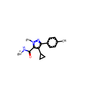 CC[C@H](C)NC(=O)c1c(C2CC2)c(-c2ccc(C#N)cc2)nn1C(C)C